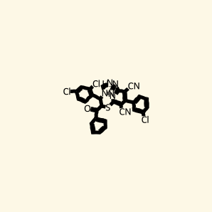 N#Cc1c(N)nc(SC(C(=O)c2ccccc2)C(c2ccc(Cl)cc2Cl)n2cncn2)c(C#N)c1-c1cccc(Cl)c1